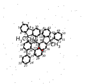 CC1(C)c2ccccc2-c2cccc(N(c3cccc(-c4ccccc4)c3-c3ccccc3)c3cccc4c3-c3ccccc3C4(C)c3ccccc3)c21